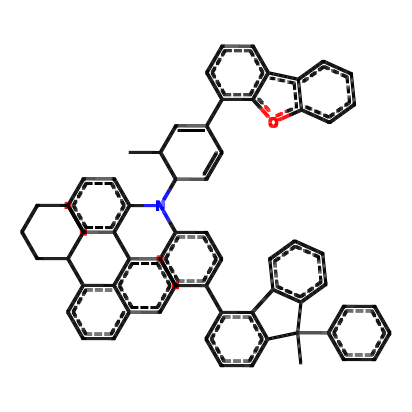 CC1C=C(c2cccc3c2oc2ccccc23)C=CC1N(c1ccc(-c2cccc3c2-c2ccccc2C3(C)c2ccccc2)cc1)c1ccccc1-c1cccc2cccc(C3CCCCC3)c12